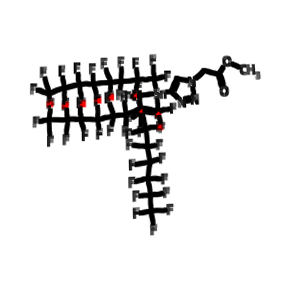 COC(=O)Cn1c[c]([Sn]([C](F)(F)C(F)(F)C(F)(F)C(F)(F)C(F)(F)C(F)(F)C(F)(F)C(F)(F)F)([C](F)(F)C(F)(F)C(F)(F)C(F)(F)C(F)(F)C(F)(F)C(F)(F)C(F)(F)F)[C](F)(F)C(F)(F)C(F)(F)C(F)(F)C(F)(F)C(F)(F)C(F)(F)C(F)(F)F)nn1